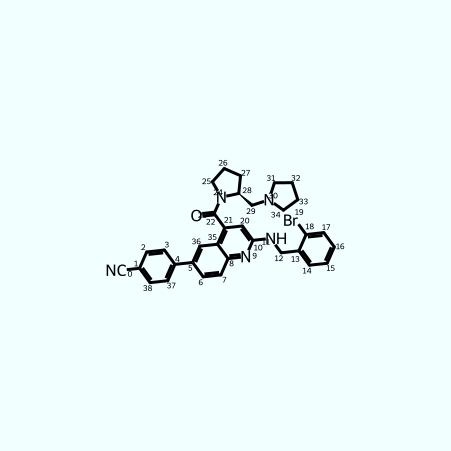 N#Cc1ccc(-c2ccc3nc(NCc4ccccc4Br)cc(C(=O)N4CCC[C@H]4CN4CCCC4)c3c2)cc1